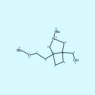 CC(C)(C)OCCC12CCC1(CO)CN(C(C)(C)C)C2